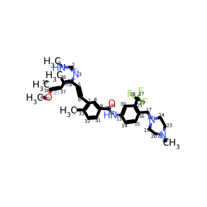 CN\C=N/C(C#Cc1cc(C(=O)Nc2ccc(CN3CCN(C)CC3)c(C(F)(F)F)c2)ccc1C)=C(C)/C=C(\C)OC